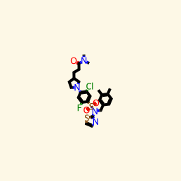 Cc1ccc(CN(c2nccs2)S(=O)(=O)c2cc(Cl)c(N3CCC(CCC(=O)N(C)C)C3)cc2F)cc1C